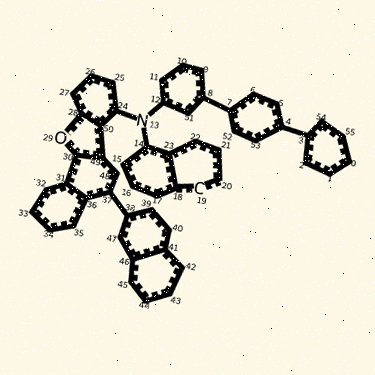 c1ccc(-c2ccc(-c3cccc(N(c4cccc5ccccc45)c4cccc5oc6c7ccccc7c(-c7ccc8ccccc8c7)cc6c45)c3)cc2)cc1